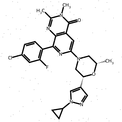 Cc1nc2c(-c3ccc(Cl)cc3F)nc(N3C[C@@H](c4cnn(C5CC5)c4)O[C@@H](C)C3)cc2c(=O)n1C